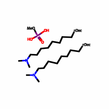 CCCCCCCCCCCCCCCCCCN(C)C.CCCCCCCCCCCCCCCCCCN(C)C.COP(=O)(O)O